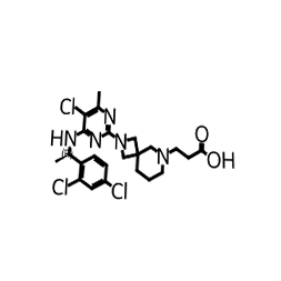 Cc1nc(N2CC3(CCCN(CCC(=O)O)C3)C2)nc(N[C@H](C)c2ccc(Cl)cc2Cl)c1Cl